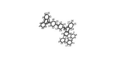 c1ccc(C(c2ccccc2)(c2ccccc2)c2ccc3c(c2)c2ccccc2n3-c2ccc(-c3ccc(-n4c5ccccc5c5ccccc54)cc3)cc2)cc1